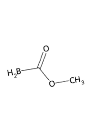 BC(=O)OC